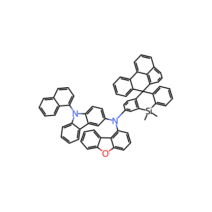 C[Si]1(C)c2ccccc2C2(c3ccccc3-c3cccc4cccc2c34)c2ccc(N(c3ccc4c(c3)c3ccccc3n4-c3cccc4ccccc34)c3cccc4oc5ccccc5c34)cc21